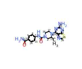 CC1CN(C(=O)Nc2ccc(C(N)=O)cc2)CCN1c1nc(N)nc2scnc12